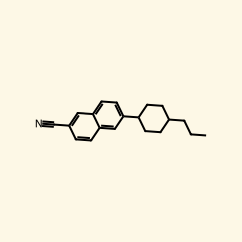 CCCC1CCC(c2ccc3cc(C#N)ccc3c2)CC1